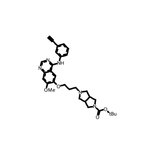 C#Cc1cccc(Nc2ncnc3cc(OC)c(OCCCN4CC5CN(C(=O)OC(C)(C)C)CC5C4)cc23)c1